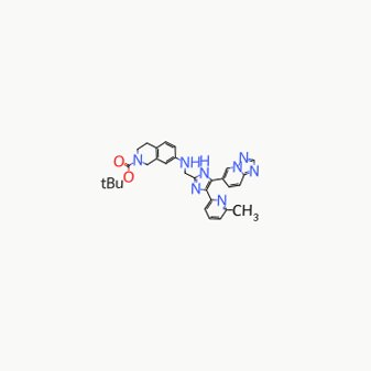 Cc1cccc(-c2nc(CNc3ccc4c(c3)CN(C(=O)OC(C)(C)C)CC4)[nH]c2-c2ccc3ncnn3c2)n1